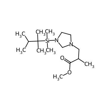 COC(=O)C(C)CN1CCN([Si](C)(C)C(C)(C)C(C)C)C1